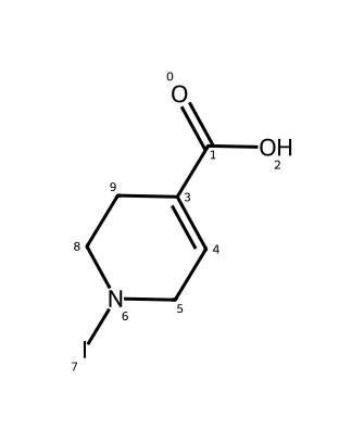 O=C(O)C1=CCN(I)CC1